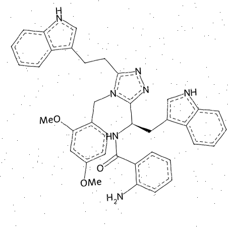 COc1ccc(Cn2c(CCc3c[nH]c4ccccc34)nnc2[C@@H](Cc2c[nH]c3ccccc23)NC(=O)c2ccccc2N)c(OC)c1